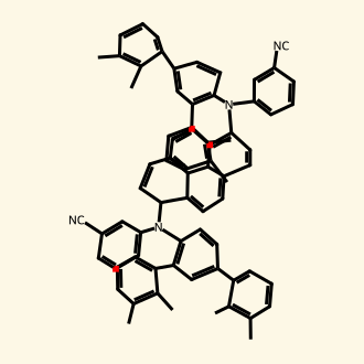 [C-]#[N+]c1cccc(N(C2=C3C=CC4=C5C(=CC=C(C=C2)C35)C(N(c2cccc(C#N)c2)c2ccc(-c3cccc(C)c3C)cc2-c2cccc(C)c2C)C=C4)c2ccc(-c3cccc(C)c3C)cc2-c2cccc(C)c2C)c1